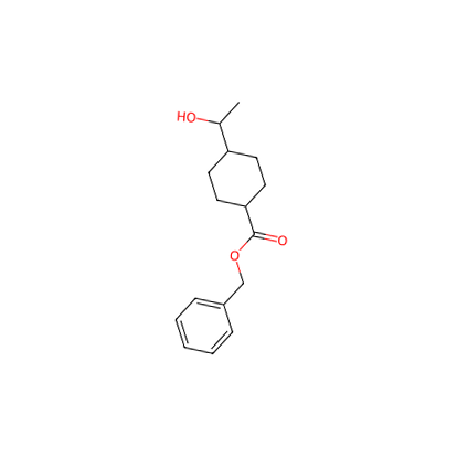 CC(O)C1CCC(C(=O)OCc2ccccc2)CC1